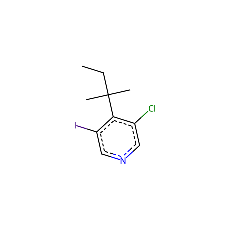 CCC(C)(C)c1c(Cl)cncc1I